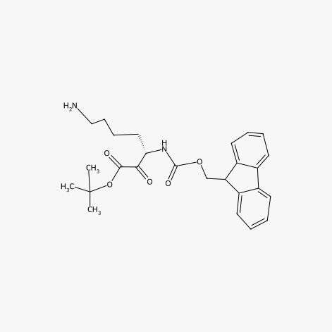 CC(C)(C)OC(=O)C(=O)[C@H](CCCCN)NC(=O)OCC1c2ccccc2-c2ccccc21